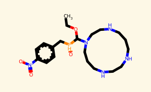 CCOC(N1CCCNCCNCCCNCC1)[PH](=O)Cc1ccc([N+](=O)[O-])cc1